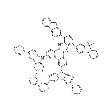 CC1(C)c2ccccc2-c2ccc(-c3ccc(-c4ccc5c(c4)C(C)(C)c4ccccc4-5)c4nc(-c5ccc(-n6c7ccc(-c8ccccc8)cc7c7cc(-c8ccccc8)ccc76)cc5)c(-c5ccc(-n6c7ccc(-c8ccccc8)cc7c7cc(-c8ccccc8)ccc76)cc5)nc34)cc21